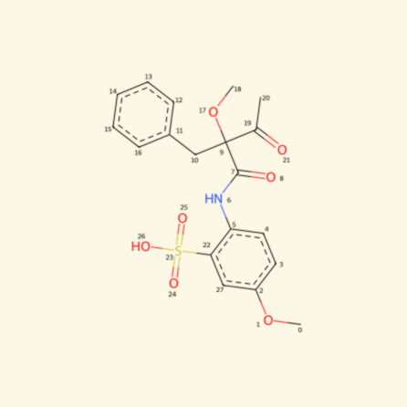 COc1ccc(NC(=O)C(Cc2ccccc2)(OC)C(C)=O)c(S(=O)(=O)O)c1